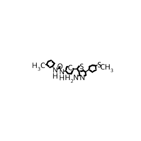 CSc1ccc(-c2cnc(N)c3c(-c4ccc(NC(=O)Nc5cccc(C)c5)cc4)csc23)cc1